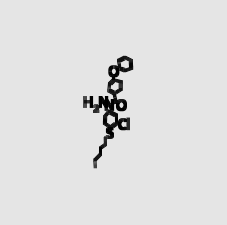 CCCCCCSc1ccc(N(N)C(=O)c2ccc(Oc3ccccc3)cc2)cc1Cl